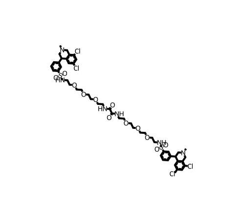 CN1Cc2c(Cl)cc(Cl)cc2C(c2cccc(S(=O)(=O)NCCOCCOCCOCCNC(=O)C(=O)NCCOCCOCCOCCNS(=O)(=O)c3cccc(C4CN(C)Cc5c(Cl)cc(Cl)cc54)c3)c2)C1